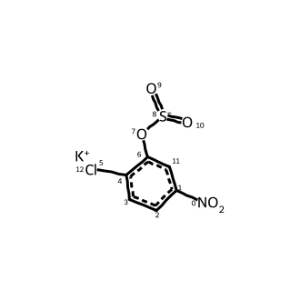 O=[N+]([O-])c1ccc(Cl)c(O[S-](=O)=O)c1.[K+]